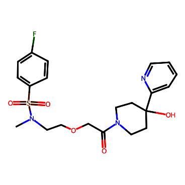 CN(CCOCC(=O)N1CCC(O)(c2ccccn2)CC1)S(=O)(=O)c1ccc(F)cc1